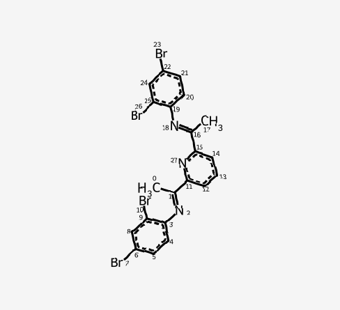 CC(=Nc1ccc(Br)cc1Br)c1cccc(C(C)=Nc2ccc(Br)cc2Br)n1